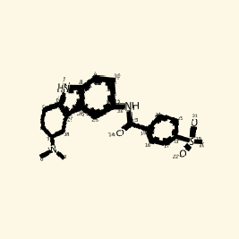 CN(C)C1CCc2[nH]c3ccc(NC(=O)c4ccc(S(C)(=O)=O)cc4)cc3c2C1